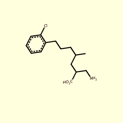 CC(CCCc1ccccc1Cl)CC(CN)C(=O)O